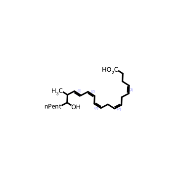 CCCCCC(O)C(C)/C=C/C=C\C=C/C/C=C\C/C=C\CCC(=O)O